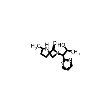 CC1CCC2(CN(C(c3ncccn3)C(C)O)C2=O)N1